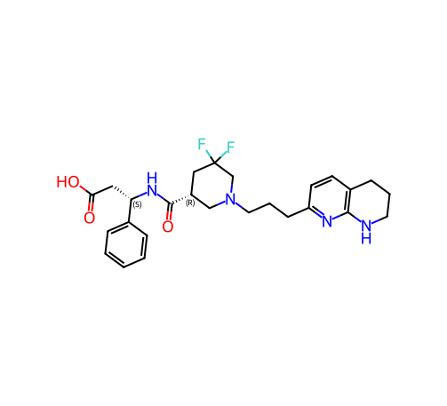 O=C(O)C[C@H](NC(=O)[C@H]1CN(CCCc2ccc3c(n2)NCCC3)CC(F)(F)C1)c1ccccc1